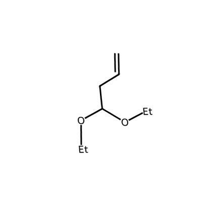 C=CCC(OCC)OCC